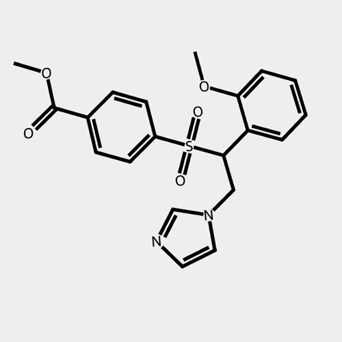 COC(=O)c1ccc(S(=O)(=O)C(Cn2ccnc2)c2ccccc2OC)cc1